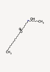 CCCCCCCCCCCCCCCCCCOC(=O)CCCCCCC/C=C\CC(O)CCCCCC